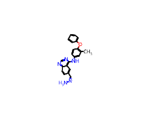 Cc1cc(Nc2ncnc3ccc(/C=N\N)cc23)ccc1Oc1ccccc1